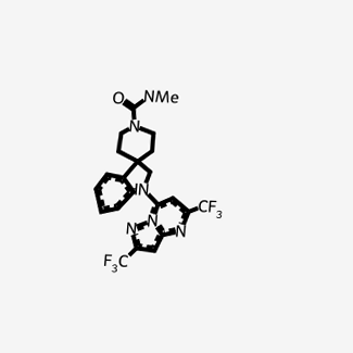 CNC(=O)N1CCC(CNc2cc(C(F)(F)F)nc3cc(C(F)(F)F)nn23)(c2ccccc2)CC1